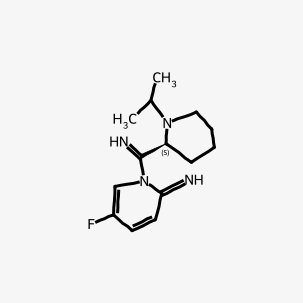 CC(C)N1CCCC[C@H]1C(=N)n1cc(F)ccc1=N